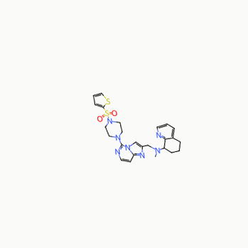 CN(Cc1cn2c(N3CCN(S(=O)(=O)c4cccs4)CC3)nccc2n1)C1CCCc2cccnc21